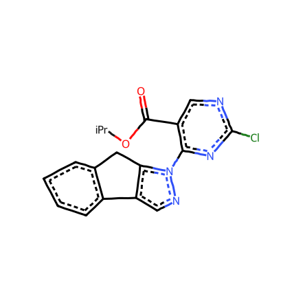 CC(C)OC(=O)c1cnc(Cl)nc1-n1ncc2c1Cc1ccccc1-2